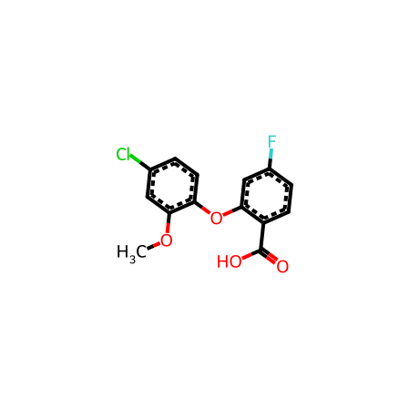 COc1cc(Cl)ccc1Oc1cc(F)ccc1C(=O)O